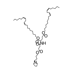 CCCCC/C=C\C/C=C\CCCCCCCCOC(=O)CCC(NC(=O)CCC(=O)OCCCCN1CCCC1)C(=O)OCCCCCCCC/C=C\C/C=C\CCCCC